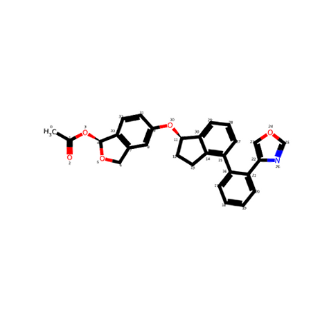 CC(=O)O[C@@H]1OCc2cc(O[C@@H]3CCc4c(-c5ccccc5-c5cocn5)cccc43)ccc21